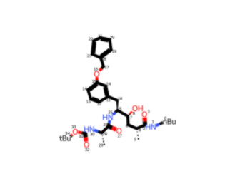 CCCCNC(=O)[C@H](C)C[C@H](O)[C@H](Cc1cccc(OCc2ccccc2)c1)NC(=O)[C@H](C)NC(=O)OC(C)(C)C